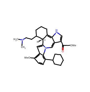 COC(=O)c1c[nH]c2c1=Cn1c(cc3c(OC)ccc(C4CCCCC4)c31)[C@H]1C=2CCCC1CCN(C)C